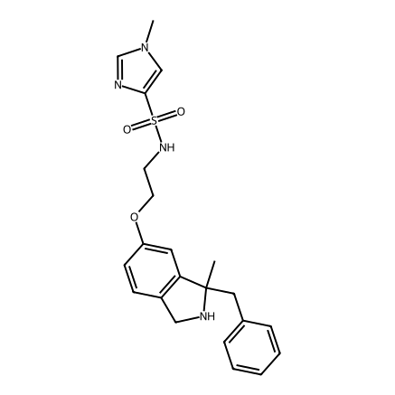 Cn1cnc(S(=O)(=O)NCCOc2ccc3c(c2)C(C)(Cc2ccccc2)NC3)c1